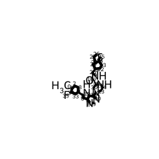 Cc1ccc(-c2cc3ncnc(N4CCN[C@H](C(=O)NCc5ccc6sccc6c5)C4)c3[nH]2)cc1F